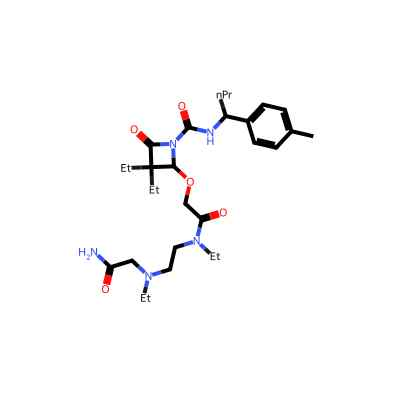 CCCC(NC(=O)N1C(=O)C(CC)(CC)C1OCC(=O)N(CC)CCN(CC)CC(N)=O)c1ccc(C)cc1